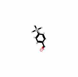 C[Si](C)(C)c1ccc([C]=O)cc1